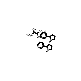 CN1CCCC1c1cccnc1.CN1CCCC1c1cccnc1.O=C(O)C(O)C(O)C(=O)O